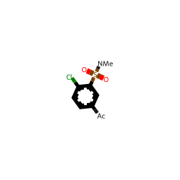 CNS(=O)(=O)c1cc(C(C)=O)ccc1Cl